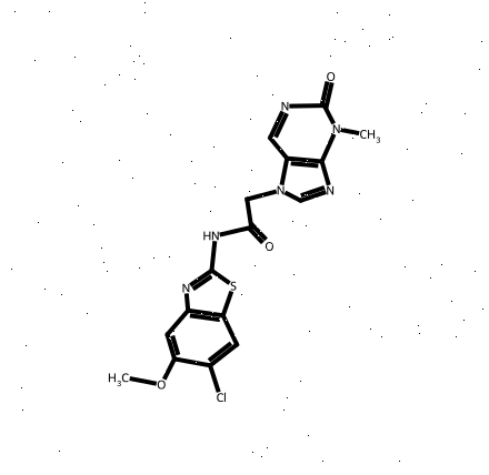 COc1cc2nc(NC(=O)Cn3cnc4c3cnc(=O)n4C)sc2cc1Cl